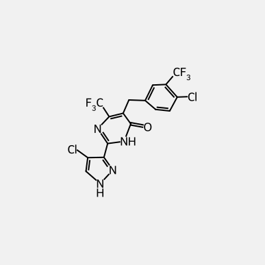 O=c1[nH]c(-c2n[nH]cc2Cl)nc(C(F)(F)F)c1Cc1ccc(Cl)c(C(F)(F)F)c1